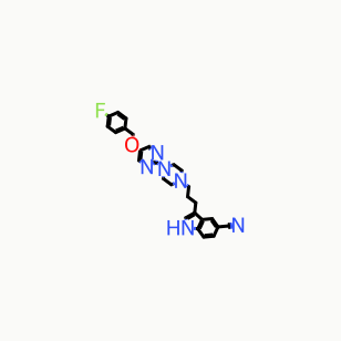 N#Cc1ccc2[nH]cc(CCCN3CCN(c4ncc(OCc5ccc(F)cc5)cn4)CC3)c2c1